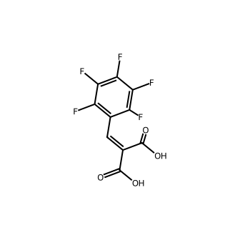 O=C(O)C(=Cc1c(F)c(F)c(F)c(F)c1F)C(=O)O